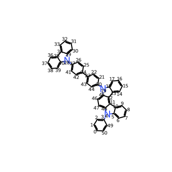 c1ccc(-n2c3ccccc3c3c4c5ccccc5n(-c5ccc(-c6ccc(-n7c8ccccc8c8ccccc87)cc6)cc5)c4ccc32)cc1